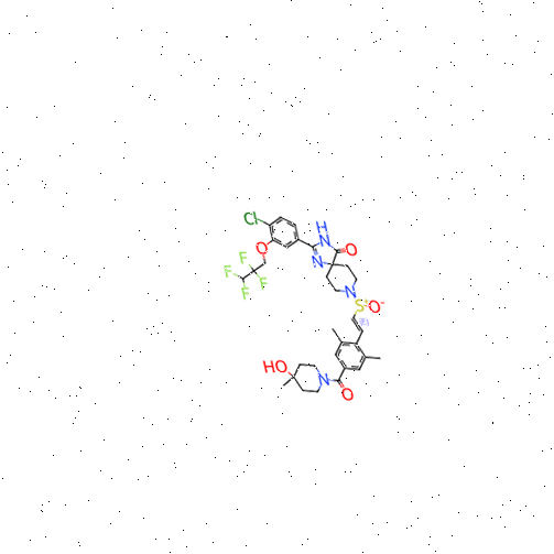 Cc1cc(C(=O)N2CCC(C)(O)CC2)cc(C)c1/C=C/[S+]([O-])N1CCC2(CC1)N=C(c1ccc(Cl)c(OCC(F)(F)C(F)F)c1)NC2=O